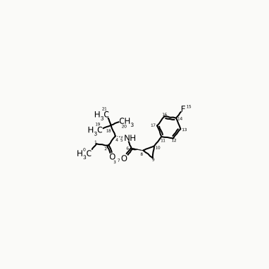 CCC(=O)[C@@H](NC(=O)[C@@H]1CC1c1ccc(F)cc1)C(C)(C)C